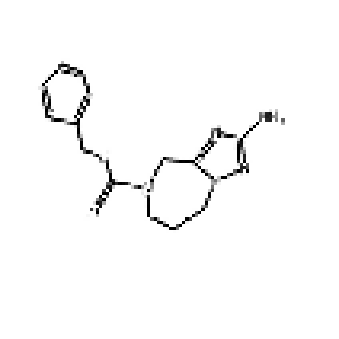 Nc1nc2n(n1)CCCN(C(=O)OCc1ccccc1)C2